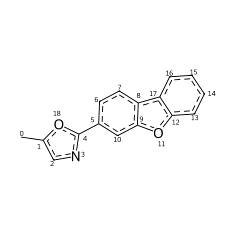 Cc1cnc(-c2ccc3c(c2)oc2ccccc23)o1